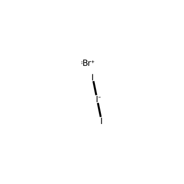 I[I-]I.[Br+]